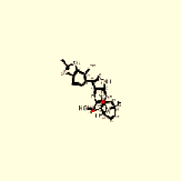 Cc1nc2ccc(-c3n[nH]c4nc(N5[C@H]6CC[C@@H]5[C@@H](F)[C@@H](N)C6)c(CO)nc34)c(F)c2s1